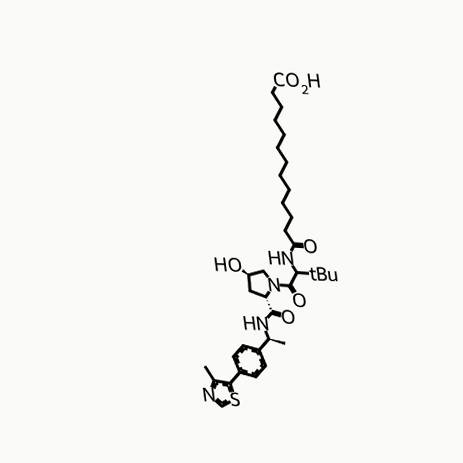 Cc1ncsc1-c1ccc([C@H](C)NC(=O)[C@@H]2C[C@@H](O)CN2C(=O)C(NC(=O)CCCCCCCCCCCC(=O)O)C(C)(C)C)cc1